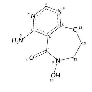 Nc1ncnc2c1C(=O)N(O)CCO2